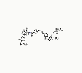 CCc1cc(N2CC(CN3CCC(N/C=C(\C)Nc4nccc(C5=CCC=C(CNC)C(C)=C5)n4)CC3)C2)ccc1C(=O)N(C=O)CCCC(=O)NC(C)=O